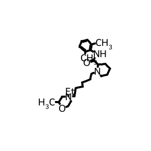 CC[N+]1(CCCCCCN2CCCCC2C(=O)Nc2c(C)cccc2C)CCOC(C)C1